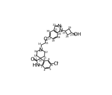 O=C1Nc2ccc(Cl)cc2C12CCN(CCOc1ccc3c(cnn3C3CC(O)C3)c1)CC2